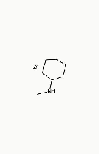 CNC1CCCCC1.[Zr]